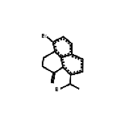 C=C1CCc2c(Br)ccc3ccc(C(C)Br)c1c23